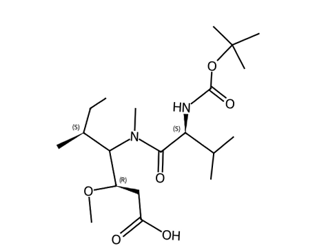 CC[C@H](C)C([C@@H](CC(=O)O)OC)N(C)C(=O)[C@@H](NC(=O)OC(C)(C)C)C(C)C